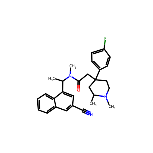 CC1CC(CC(=O)N(C)C(C)c2cc(C#N)cc3ccccc23)(c2ccc(F)cc2)CCN1C